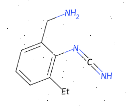 CCc1cccc(CN)c1N=C=N